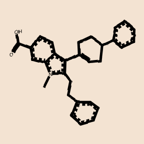 Cn1c(CCc2ccccc2)c(C2=CCC(c3ccccc3)CC2)c2ccc(C(=O)O)cc21